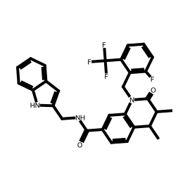 CC1C(=O)N(Cc2c(F)cccc2C(F)(F)F)c2cc(C(=O)NCc3cc4ccccc4[nH]3)ccc2C1C